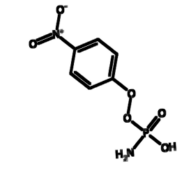 NP(=O)(O)OOc1ccc([N+](=O)[O-])cc1